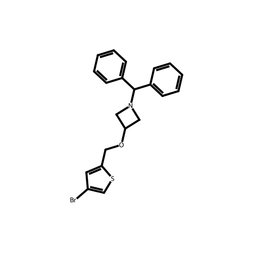 Brc1csc(COC2CN(C(c3ccccc3)c3ccccc3)C2)c1